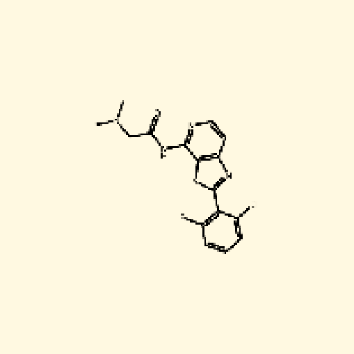 CN(C)CC(=O)Nc1nccc2nc(-c3c(F)cccc3Cl)sc12